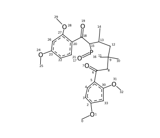 COc1ccc(C(=O)CC(C)(C)CC(C)C(P=O)C(=O)c2ccc(OC)cc2OC)c(OC)c1